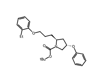 CCc1ccccc1OCCC[C@H]1C[C@H](Oc2ccccc2)CN1C(=O)OC(C)(C)C